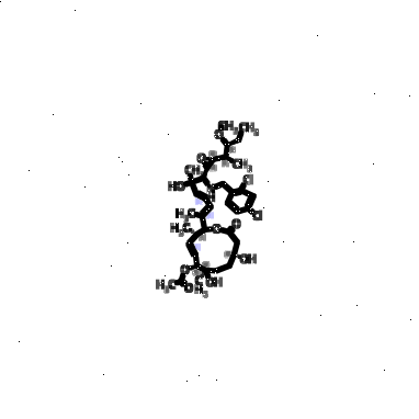 CC[C@H](OC)[C@@H](C)[C@H]1O[C@@H]1C(NCc1ccc(Cl)cc1Cl)C(C)(O)/C=C/C=C(\C)C1OC(=O)C[C@H](O)CC[C@@](C)(O)[C@@H](OC(C)=O)/C=C/[C@@H]1C